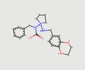 O=C([O-])N(Cc1ccccc1)[N+]1(NCc2ccc3c(c2)OCCO3)CCCC1